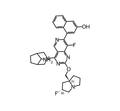 NC1C2CCC1CN(c1nc(OC[C@@]34CCCN3C[C@H](F)C4)nc3c(F)c(-c4cc(O)cc5ccccc45)ncc13)C2